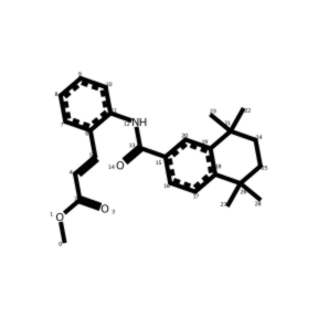 COC(=O)/C=C/c1ccccc1NC(=O)c1ccc2c(c1)C(C)(C)CCC2(C)C